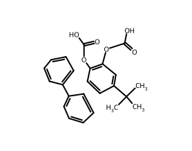 CC(C)(C)c1ccc(OC(=O)O)c(OC(=O)O)c1.c1ccc(-c2ccccc2)cc1